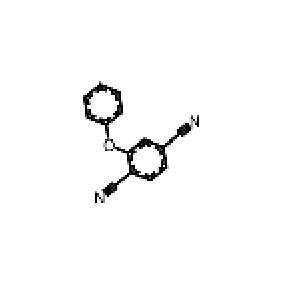 N#Cc1ccc(C#N)c(Oc2cc[c]cc2)c1